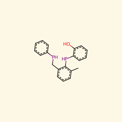 Cc1cccc(CPc2ccccc2)c1Pc1ccccc1O